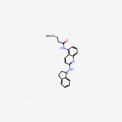 COCCC(=O)Nc1cccc2nc(N[C@@H]3CCc4ccccc43)ccc12